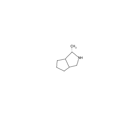 C[C@@H]1NCC2CCCC21